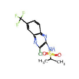 CC(C)S(=O)(=O)Nc1nc2ccc(C(F)(F)F)cc2nc1Cl